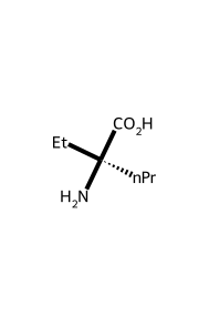 CCC[C@](N)(CC)C(=O)O